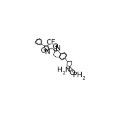 NC1(COP)CCC(c2ccc3c(c2)CCc2c-3noc2-c2noc(-c3ccccc3)c2C(F)(F)F)C1